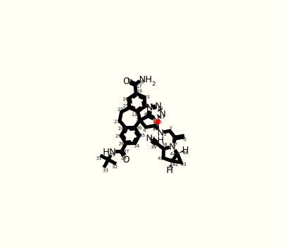 C=C(CN[C@@H](C)CC1(c2nnn[nH]2)c2ccc(C(N)=O)cc2CCc2cc(C(=O)NC(C)(C)C)ccc21)N1C(C#N)C[C@@H]2C[C@@H]21